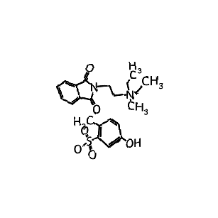 CC[N+](C)(CC)CCN1C(=O)c2ccccc2C1=O.Cc1ccc(O)cc1S(=O)(=O)[O-]